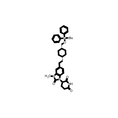 Cn1c(=O)n(C2CCC(=O)NC2=O)c2ccc(CC[C@H]3CC[C@@H](CO[Si](c4ccccc4)(c4ccccc4)C(C)(C)C)CC3)cc21